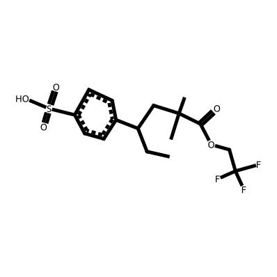 CCC(CC(C)(C)C(=O)OCC(F)(F)F)c1ccc(S(=O)(=O)O)cc1